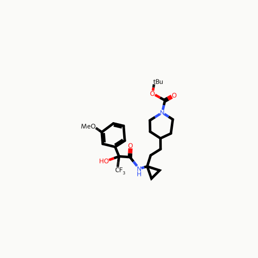 COc1cccc(C(O)(C(=O)NC2(CCC3CCN(C(=O)OC(C)(C)C)CC3)CC2)C(F)(F)F)c1